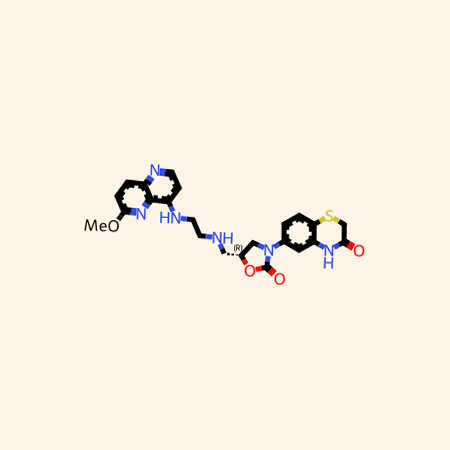 COc1ccc2nccc(NCCNC[C@@H]3CN(c4ccc5c(c4)NC(=O)CS5)C(=O)O3)c2n1